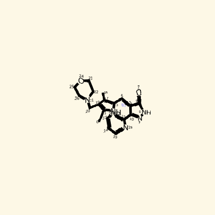 Cc1[nH]c(/C=C2/C(=O)NN=C2c2ncccn2)c(C)c1CN1CCOCC1